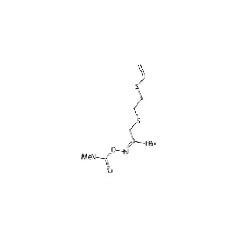 C=CSCCSCC(=NOC(=O)NC)C(C)(C)C